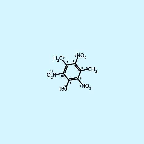 Cc1c([N+](=O)[O-])c(C)c([N+](=O)[O-])c(C(C)(C)C)c1[N+](=O)[O-]